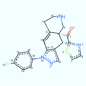 O=C(c1nccs1)[C@@]12CNCCC1=Cc1c(cnn1-c1ccc(F)cc1)C2